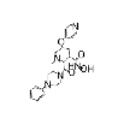 CN1CC(Oc2ccncc2)CC(C(=O)NO)C1C(=O)N1CCN(c2ccccc2)CC1